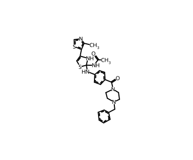 CC(=O)NC1(Nc2ccc(C(=O)N3CCN(Cc4ccccc4)CC3)cc2)NC(c2scnc2C)=CS1